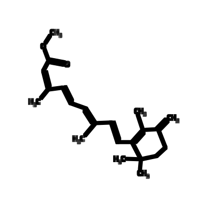 C=C1CCC(C)(C)C(/C=C/C(C)=C/C=C/C(C)=C\C(=O)OC)=C1C